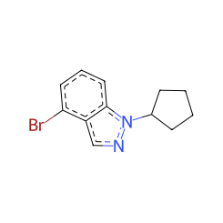 Brc1cccc2c1cnn2C1CCCC1